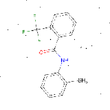 Bc1ccccc1NC(=O)c1ccccc1C(F)(F)F